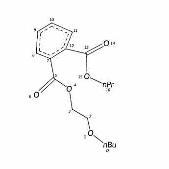 CCCCOCCOC(=O)c1ccccc1C(=O)OCCC